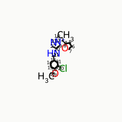 CC[N+]1(Cc2ccco2)C=C(NCc2ccc(OC)c(Cl)c2)C=N1